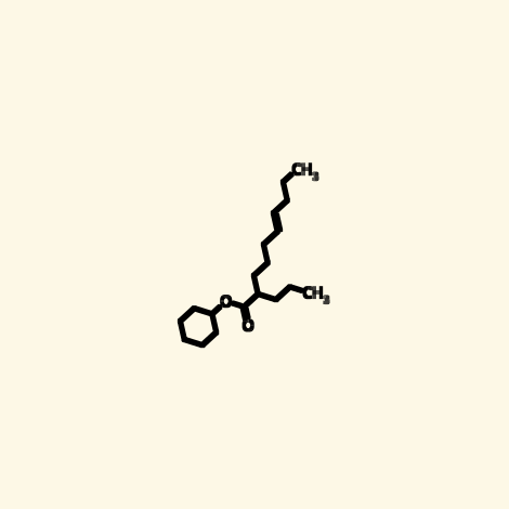 CCCC=CCCCC(CCC)C(=O)OC1CCCCC1